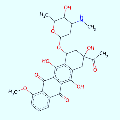 CNC1CC(OC2CC(O)(C(C)=O)Cc3c(O)c4c(c(O)c32)C(=O)c2c(OC)cccc2C4=O)OC(C)C1O